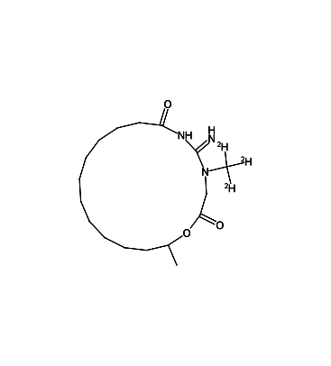 [2H]C([2H])([2H])N1CC(=O)OC(C)CCCCCCCCCCC(=O)NC1=N